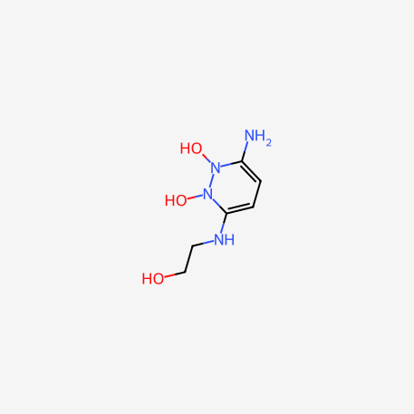 NC1=CC=C(NCCO)N(O)N1O